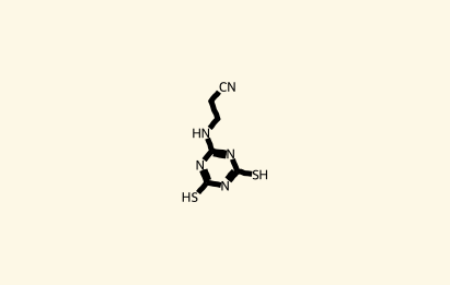 N#CCCNc1nc(S)nc(S)n1